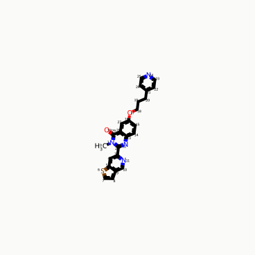 Cn1c(-c2cc3sccc3cn2)nc2ccc(OCCCc3ccncc3)cc2c1=O